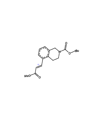 COC(=O)/C=C/c1cccc2c1CCN(C(=O)OC(C)(C)C)C2